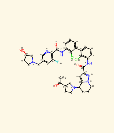 COC(=O)[C@@H]1CCN(C2CCCn3nc(C(=O)Nc4cccc(-c5cccc(NC(=O)c6ncc(CN7CC[C@@H](O)C7)cc6F)c5Cl)c4Cl)cc32)C1